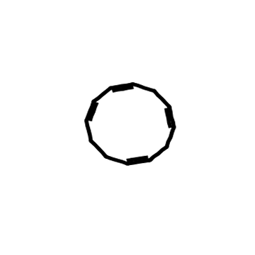 [C]1=CCCC=CC=CCC=CC1